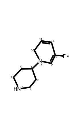 FC1=CN(C2CCNCC2)CC=C1